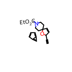 C#CC1C=CC2(CCN(C(=O)OCC)CC2)O1.c1cc2cc-2c1